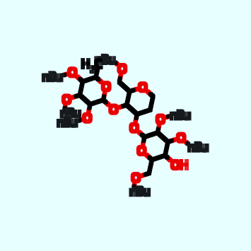 CCCCOCC1OC(OC2CCOC(COCCCC)C2OC2OC(C)C(OCCCC)C(OCCCC)C2OCCCC)C(OCCCC)C(OCCCC)C1O